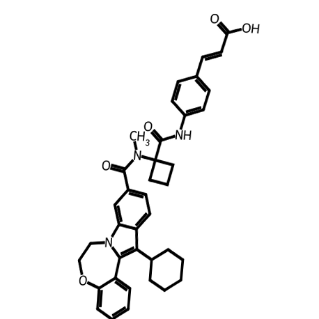 CN(C(=O)c1ccc2c(C3CCCCC3)c3n(c2c1)CCOc1ccccc1-3)C1(C(=O)Nc2ccc(C=CC(=O)O)cc2)CCC1